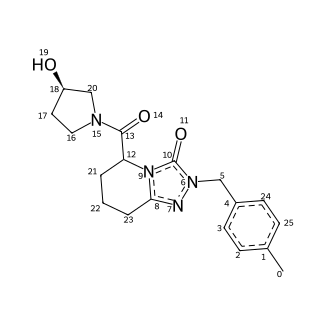 Cc1ccc(Cn2nc3n(c2=O)C(C(=O)N2CC[C@@H](O)C2)CCC3)cc1